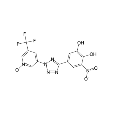 O=[N+]([O-])c1cc(-c2nnn(-c3cc(C(F)(F)F)c[n+]([O-])c3)n2)cc(O)c1O